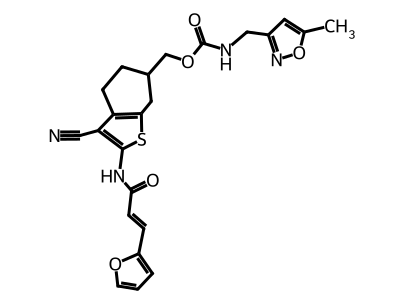 Cc1cc(CNC(=O)OCC2CCc3c(sc(NC(=O)C=Cc4ccco4)c3C#N)C2)no1